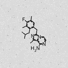 Cc1cc(Cc2nc(C)c3c(N)nccn23)c(CC(C)C)c(C)c1F